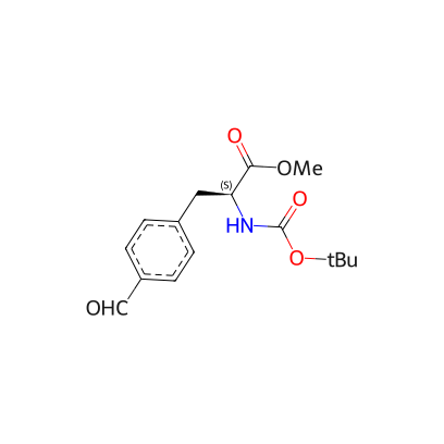 COC(=O)[C@H](Cc1ccc(C=O)cc1)NC(=O)OC(C)(C)C